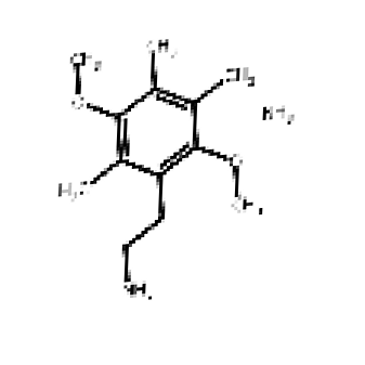 COc1c(C)c(C)c(OC)c(CCN)c1C.N